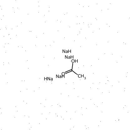 CC(=O)O.[NaH].[NaH].[NaH].[NaH]